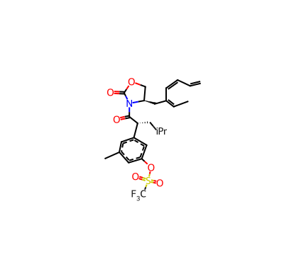 C=C/C=C\C(=C/C)C[C@@H]1COC(=O)N1C(=O)[C@H](CC(C)C)c1cc(C)cc(OS(=O)(=O)C(F)(F)F)c1